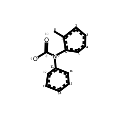 Cc1ccccc1N(C([O])=O)c1ccccc1